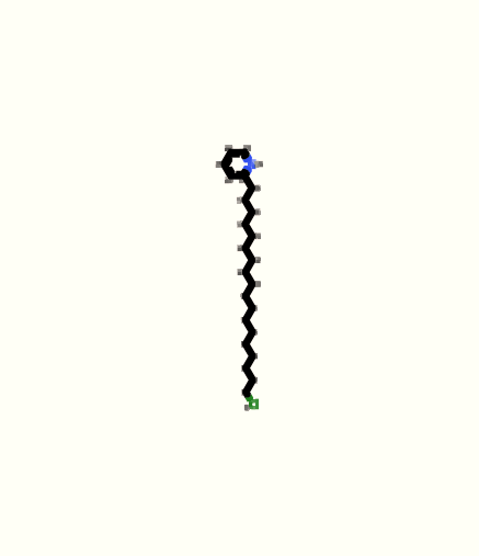 ClCCCCCCCCCCCCCCCCCCc1ccccn1